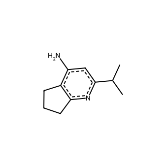 CC(C)c1cc(N)c2c(n1)CCC2